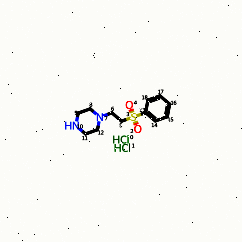 Cl.Cl.O=S(=O)(CCN1CCNCC1)c1ccccc1